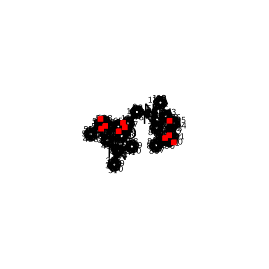 c1ccc(-c2nc(-c3cccc(-c4ccc5c(c4)oc4ccc(-c6c(-c7nc(-c8ccccc8)nc(-c8ccccc8)n7)ccc(-n7c8ccccc8c8ccccc87)c6-n6c7ccccc7c7ccccc76)cc45)c3)nc(-c3ccc(-n4c5ccccc5c5ccccc54)c(-n4c5ccccc5c5ccccc54)c3-c3ccccc3)n2)cc1